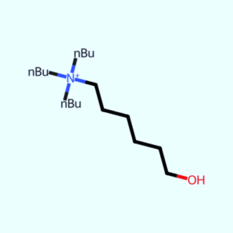 CCCC[N+](CCCC)(CCCC)CCCCCCO